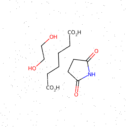 O=C(O)CCCCC(=O)O.O=C1CCC(=O)N1.OCCO